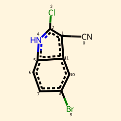 N#Cc1c(Cl)[nH]c2ccc(Br)cc12